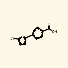 O=C(O)c1ccc(-c2ccc(Cl)s2)cc1